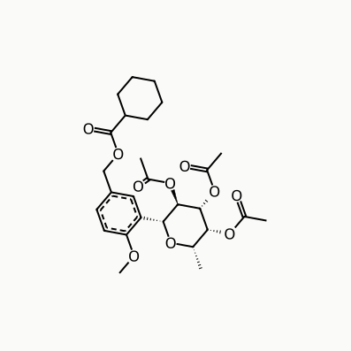 COc1ccc(COC(=O)C2CCCCC2)cc1[C@H]1O[C@@H](C)[C@@H](OC(C)=O)[C@@H](OC(C)=O)[C@@H]1OC(C)=O